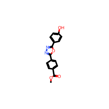 COC(=O)c1ccc(-c2nnc(-c3ccc(O)cc3)o2)cc1